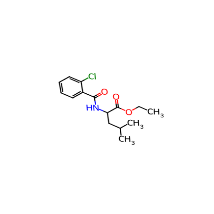 CCOC(=O)C(CC(C)C)NC(=O)c1ccccc1Cl